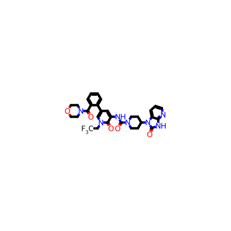 O=C(Nc1cc(-c2ccccc2C(=O)N2CCOCC2)cn(CC(F)(F)F)c1=O)N1CCC(n2c(=O)[nH]c3ncccc32)CC1